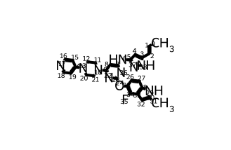 C/C=C/c1cc(Nc2cc(N3CCN(c4ccncc4)CC3)nc(Oc3ccc4[nH]c(C)cc4c3F)n2)n[nH]1